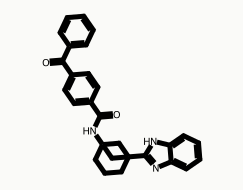 O=C(NC12CCCC(c3nc4ccccc4[nH]3)(C1)C2)c1ccc(C(=O)c2ccccc2)cc1